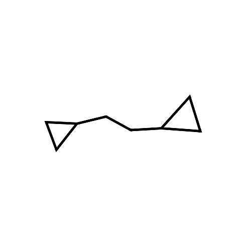 C1CC1CCC1CC1